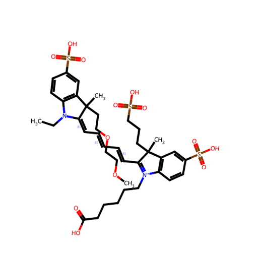 CCN1/C(=C/C=C/C=C/C2=[N+](CCCCCC(=O)O)c3ccc(S(=O)(=O)O)cc3C2(C)CCCS(=O)(=O)O)C(C)(CCOCCOC)c2cc(S(=O)(=O)O)ccc21